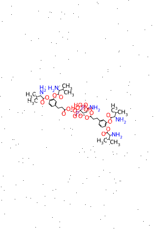 CC(C)[C@H](N)C(=O)Oc1ccc(CCC(=O)OCOP(=O)(OCOC(=O)CCc2ccc(OC(=O)[C@@H](N)C(C)C)c(OC(=O)[C@@H](N)C(C)C)c2)C(O)(CCCN)P(=O)(O)O)cc1OC(=O)[C@@H](N)C(C)C